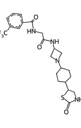 O=C(CNC(=O)c1cccc(C(F)(F)F)c1)NC1CN(C2CCC(C3CNC(=O)S3)CC2)C1